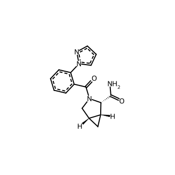 NC(=O)[C@@H]1[C@@H]2C[C@@H]2CN1C(=O)c1ccccc1-n1cccn1